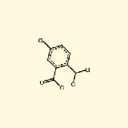 O=C(Cl)c1cc(Cl)ccc1C(Cl)Cl